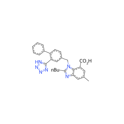 CCCCc1nc2cc(C)cc(C(=O)O)c2n1Cc1ccc(-c2ccccc2)c(-c2nnn[nH]2)c1